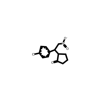 O=C1CCCC1C(C[N+](=O)[O-])c1ccc(Cl)cc1